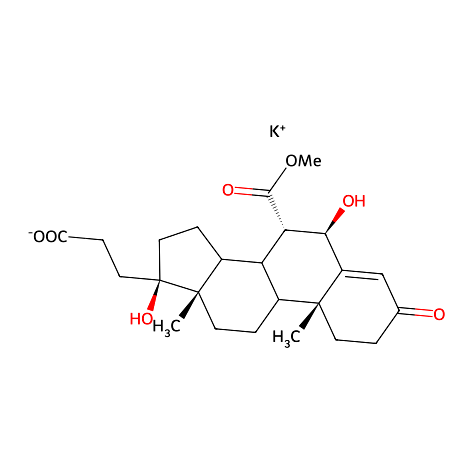 COC(=O)[C@H]1C2C(CC[C@@]3(C)C2CC[C@@]3(O)CCC(=O)[O-])[C@@]2(C)CCC(=O)C=C2[C@@H]1O.[K+]